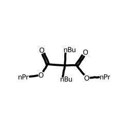 CCCCC(CCCC)(C(=O)OCCC)C(=O)OCCC